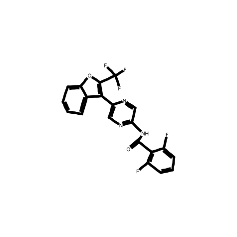 O=C(Nc1cnc(-c2c(C(F)(F)F)oc3ccccc23)cn1)c1c(F)cccc1F